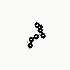 CC1(C)c2ccccc2-c2cc3c(cc21)c1ccccc1n3-c1ccc(-c2ccc3oc4ccccc4c3c2)cc1